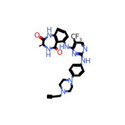 C#CCN1CCN(c2ccc(Nc3ncc(C(F)(F)F)c(Nc4cccc5c4C(=O)N[C@@H](C)C(=O)N5)n3)cc2)CC1